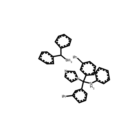 BC(c1ccccc1)c1ccccc1.CC(C)c1cccc(C([SiH2]c2ccccc2)(c2cccc(C(C)C)c2)n2ccnc2)c1